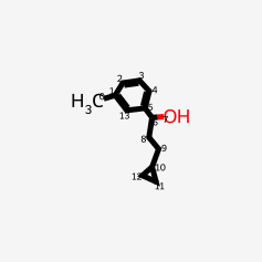 Cc1cccc(C(O)CCC2CC2)c1